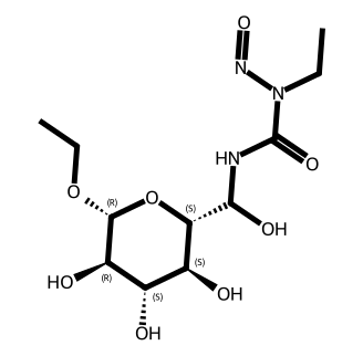 CCO[C@@H]1O[C@H](C(O)NC(=O)N(CC)N=O)[C@@H](O)[C@H](O)[C@H]1O